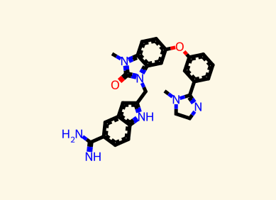 CN1CCN=C1c1cccc(Oc2ccc3c(c2)n(Cc2cc4cc(C(=N)N)ccc4[nH]2)c(=O)n3C)c1